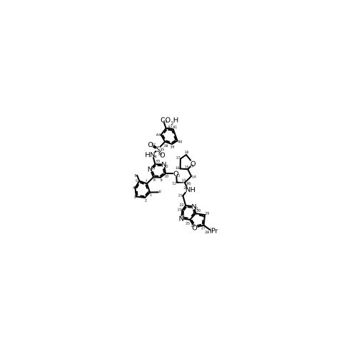 Cc1cccc(C)c1-c1cc(OC[C@@H](CC2CCCO2)NCc2cnc3oc(C(C)C)cc3n2)nc(NS(=O)(=O)c2cccc(C(=O)O)c2)n1